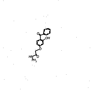 O=C(COc1ccc(C(=O)c2ccccc2)c(O)c1)NP